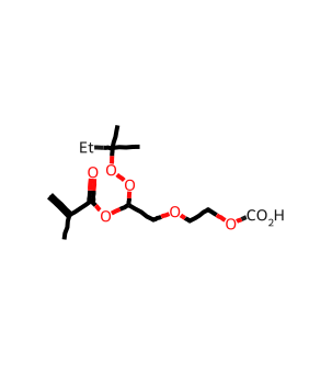 C=C(C)C(=O)OC(COCCOC(=O)O)OOC(C)(C)CC